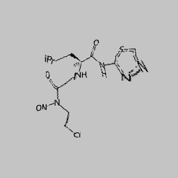 CC(C)C[C@H](NC(=O)N(CCCl)N=O)C(=O)Nc1nncs1